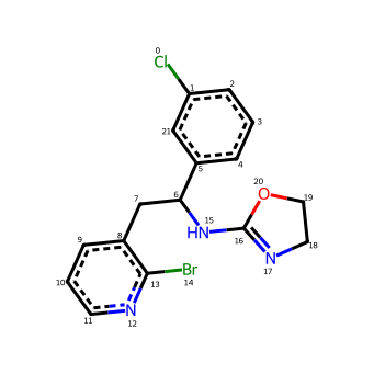 Clc1cccc(C(Cc2cccnc2Br)NC2=NCCO2)c1